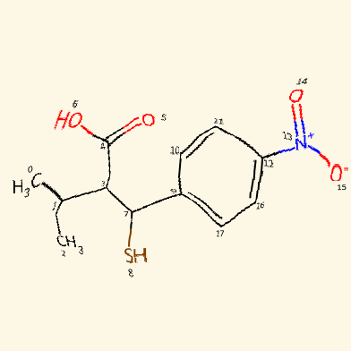 CC(C)C(C(=O)O)C(S)c1ccc([N+](=O)[O-])cc1